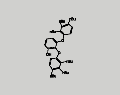 CCCCc1ccc(Oc2cccc(O)c2Oc2ccc(CCCC)c(CCCC)c2CCCC)c(CCCC)c1CCCC